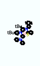 CC(C)(C)c1ccc(N2c3cc(N(c4ccccc4)c4ccccc4)ccc3B3c4sc5ccccc5c4N(c4ccc5c(c4)C(C)(C)CCC5(C)C)c4cc(C(C)(C)C)cc2c43)cc1